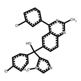 Cc1nc(-c2cccc(Cl)c2)c2cc(C(O)(c3ccc(Cl)cc3)c3cncn3C)ccc2n1